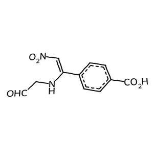 O=CCNC(=C[N+](=O)[O-])c1ccc(C(=O)O)cc1